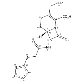 CC(=O)OCC1=C(C(=O)O)N2C(=O)[C@H](NC(=O)CSc3ccon3)[C@@H]2SC1